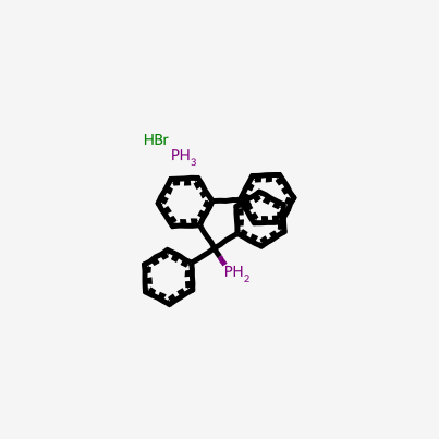 Br.P.PC(c1ccccc1)(c1ccccc1)c1ccccc1-c1ccccc1